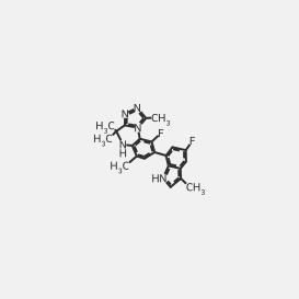 Cc1cc(-c2cc(F)cc3c(C)c[nH]c23)c(F)c2c1NC(C)(C)c1nnc(C)n1-2